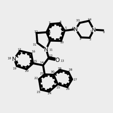 CN1CCN(c2ccc3c(c2)N(C(=O)C(c2ccncc2)c2cccc4ccccc24)CC3)CC1